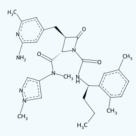 CCC[C@@H](NC(=O)N1C(=O)[C@H](Cc2cc(C)nc(N)c2)[C@H]1C(=O)N(C)c1cnn(C)c1)c1cc(C)ccc1C